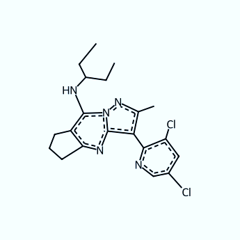 CCC(CC)Nc1c2c(nc3c(-c4ncc(Cl)cc4Cl)c(C)nn13)CCC2